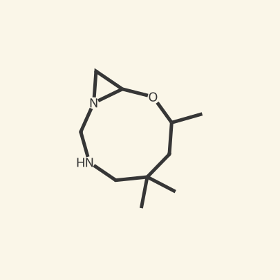 CC1CC(C)(C)CNCN2CC2O1